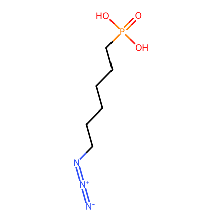 [N-]=[N+]=NCCCCCCP(=O)(O)O